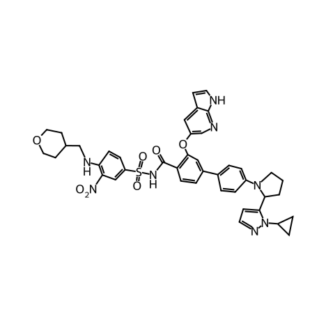 O=C(NS(=O)(=O)c1ccc(NCC2CCOCC2)c([N+](=O)[O-])c1)c1ccc(-c2ccc(N3CCCC3c3ccnn3C3CC3)cc2)cc1Oc1cnc2[nH]ccc2c1